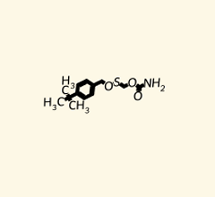 CC(C)(C)c1ccc(COSCOC(N)=O)cc1